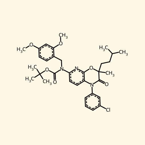 COc1ccc(CN(C(=O)OC(C)(C)C)c2ccc3c(n2)OC(C)(CCC(C)C)C(=O)N3c2cccc(Cl)c2)c(OC)c1